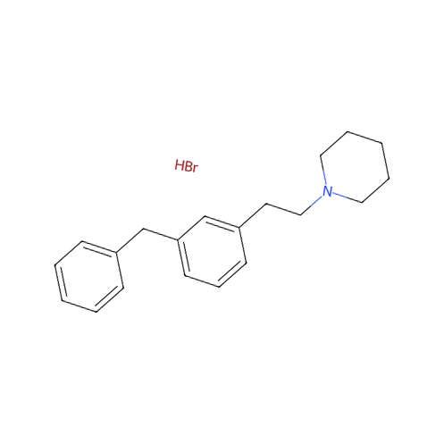 Br.c1ccc(Cc2cccc(CCN3CCCCC3)c2)cc1